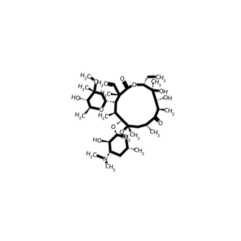 C=C[C@]1(C)C(=O)O[C@H](CC)[C@@](C)(O)[C@H](O)[C@@H](C)C(=O)[C@H](C)C[C@](C)(OC)[C@H](O[C@@H]2O[C@H](C)C[C@H](N(C)C)[C@H]2O)[C@@H](C)C1[C@H]1C[C@@](C)(OC)[C@@H](O)[C@H](C)O1